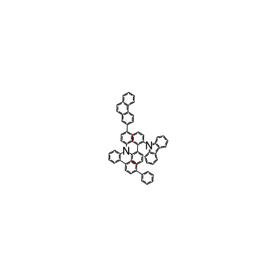 c1ccc(-c2ccc(-c3ccccc3N(c3ccc(-c4ccc5c(ccc6ccccc65)c4)cc3)c3ccccc3-c3ccccc3-n3c4ccccc4c4ccccc43)cc2)cc1